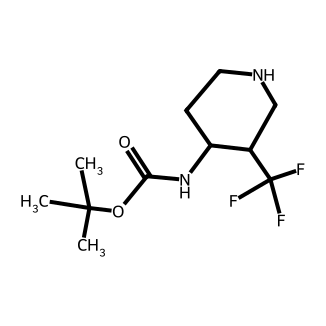 CC(C)(C)OC(=O)NC1CCNCC1C(F)(F)F